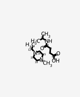 CC(C)NC(=O)CCC(=O)O.CCN1CCN(C)CC1